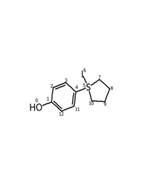 Oc1ccc(S2(I)CCCC2)cc1